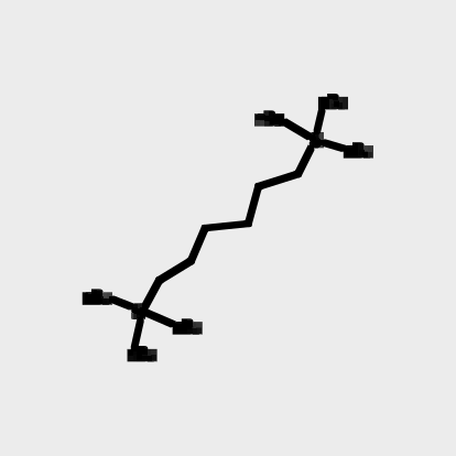 CCCC[Si](CCCC)(CCCC)CCCCCC[Si](CCCC)(CCCC)CCCC